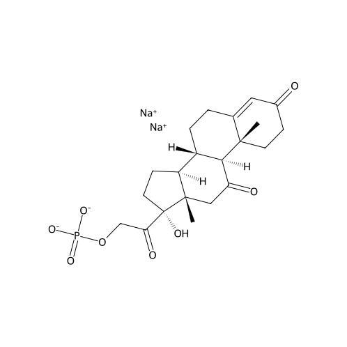 C[C@]12CCC(=O)C=C1CC[C@@H]1[C@@H]2C(=O)C[C@@]2(C)[C@H]1CC[C@]2(O)C(=O)COP(=O)([O-])[O-].[Na+].[Na+]